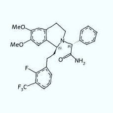 COc1cc2c(cc1OC)[C@H](CCc1cccc(C(F)(F)F)c1F)N([C@@H](C(N)=O)c1ccccc1)CC2